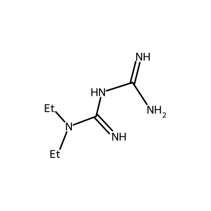 CCN(CC)C(=N)NC(=N)N